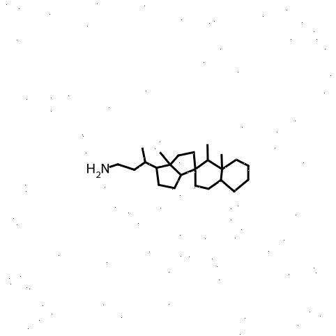 CC(CCN)C1CCC2C1(C)CCC21CCC2CCCCC2(C)C1C